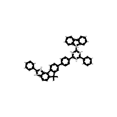 CC1(C)c2cc(-c3ccc(-c4nc(-c5ccccc5)nc(-n5c6ccccc6c6ccccc65)n4)cc3)ccc2-c2c1ccc1nc(-c3ccccc3)oc21